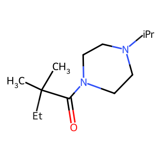 CCC(C)(C)C(=O)N1CCN(C(C)C)CC1